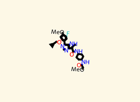 COCC(=O)N[C@H]1CC[C@H](NC(=O)c2c(C)[nH]c3c(-c4cc(F)c(OC)cc4OCC4CC4)ncnc23)CC1